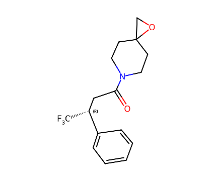 O=C(C[C@H](c1ccccc1)C(F)(F)F)N1CCC2(CC1)CO2